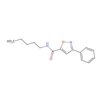 O=C(O)CCCCNC(=O)c1cc(-c2ccccc2)no1